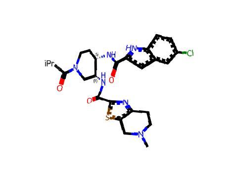 CC(C)C(=O)N1CC[C@H](NC(=O)c2cc3cc(Cl)ccc3[nH]2)[C@H](NC(=O)c2nc3c(s2)CN(C)CC3)C1